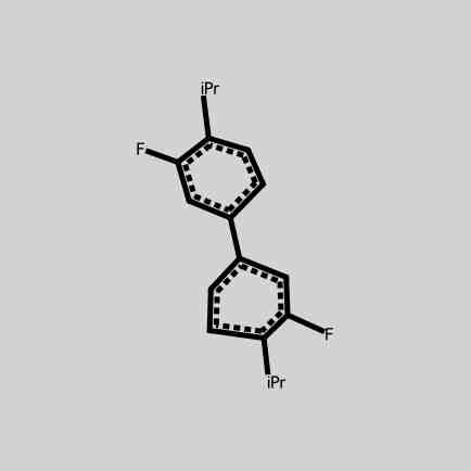 CC(C)c1ccc(-c2ccc(C(C)C)c(F)c2)cc1F